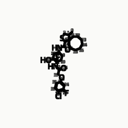 CC1CSC(C(=O)NC23CCC(NC(=O)COc4ccc(Cl)c(F)c4)(CC2)C(O)C3)C12CCCCCCCC2